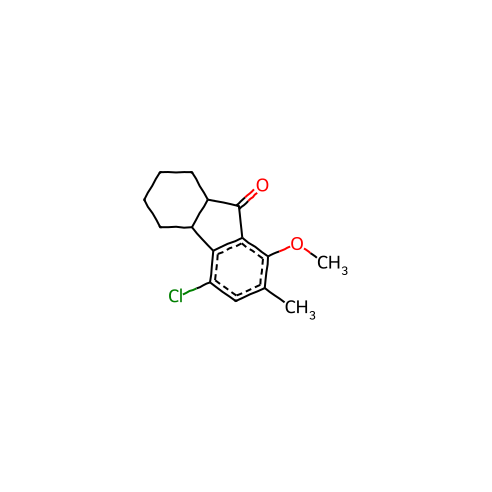 COc1c(C)cc(Cl)c2c1C(=O)C1CCCCC21